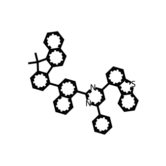 CC1(C)c2cccc(-c3ccc(-c4nc(-c5ccccc5)cc(-c5cccc6sc7ccccc7c56)n4)c4ccccc34)c2-c2ccc3ccccc3c21